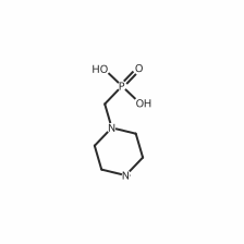 O=P(O)(O)CN1CC[N]CC1